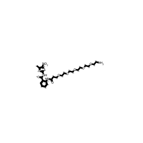 Cc1nc(NC(=O)c2ccccc2NC(=O)CCOCCOCCOCCOCCOCCN)sc1[N+](=O)[O-]